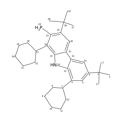 CC(C)(C)c1cc(C2CCCCC2)c2[nH]c3c(C4CCCCC4)c(P)c(C(C)(C)C)cc3c2c1